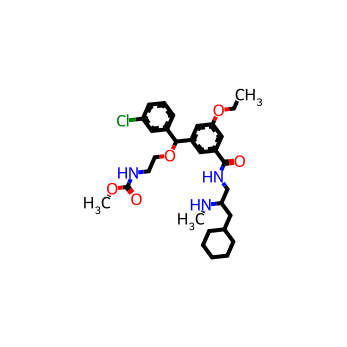 CCOc1cc(C(=O)NCC(CC2CCCCC2)NC)cc(C(OCCNC(=O)OC)c2cccc(Cl)c2)c1